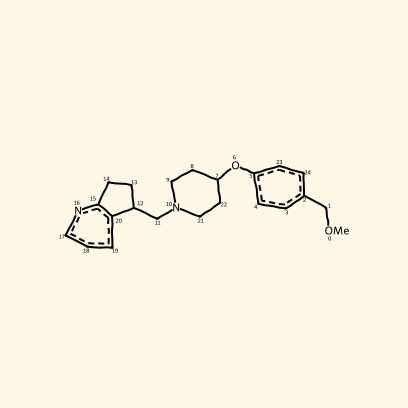 COCc1ccc(OC2CCN(CC3CCc4ncccc43)CC2)cc1